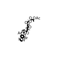 CC(=O)O[C@@H](C)C(=O)O[C@@H](C)C(=O)OCC(=O)O[C@@H](C)C(=O)N1CCN(C(C)=O)/C1=N\c1ccc2nccnc2c1Br